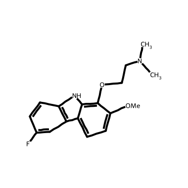 COc1ccc2c([nH]c3ccc(F)cc32)c1OCCN(C)C